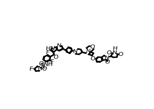 O=C1CCC(N2Cc3cc(OC4CC5(COCCN5CC5CCN(c6ccc(-c7cnc8[nH]cc(C(=O)c9c(F)ccc(NS(=O)(=O)N%10CC[C@@H](F)C%10)c9F)c8c7)cc6)CC5)C4)ccc3C2=O)C(=O)N1